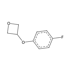 Fc1ccc(OC2COC2)cc1